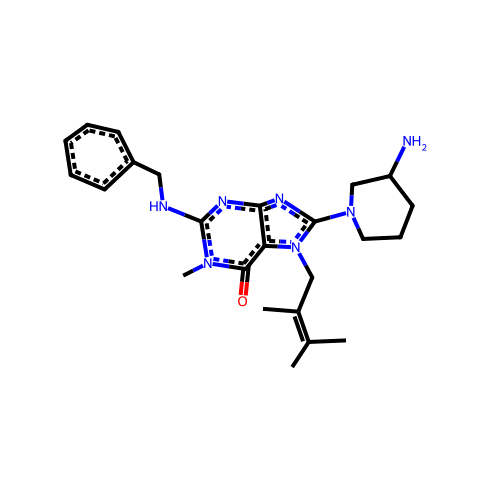 CC(C)=C(C)Cn1c(N2CCCC(N)C2)nc2nc(NCc3ccccc3)n(C)c(=O)c21